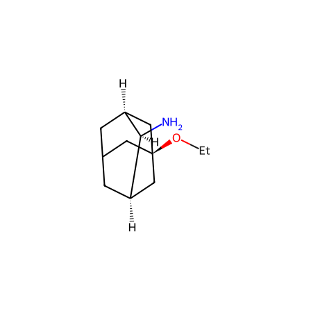 CCO[C@]12CC3C[C@H](C1)[C@H](N)[C@@H](C3)C2